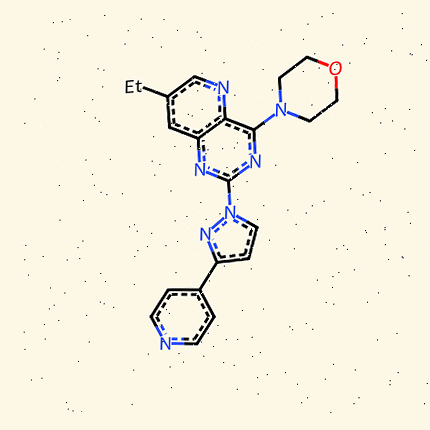 CCc1cnc2c(N3CCOCC3)nc(-n3ccc(-c4ccncc4)n3)nc2c1